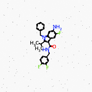 CC(C)c1c(C(=O)NCc2ccc(F)c(F)c2)c2cc(F)c(N)cc2n1Cc1ccccc1